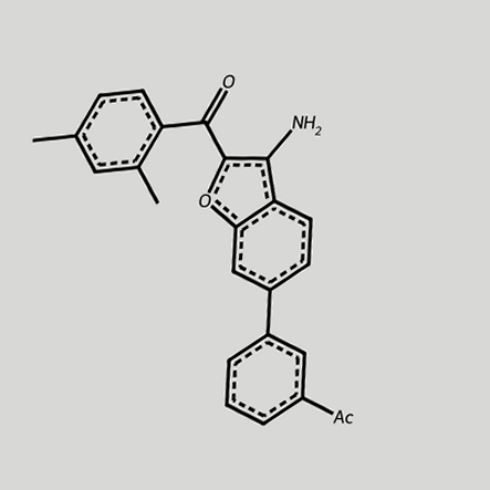 CC(=O)c1cccc(-c2ccc3c(N)c(C(=O)c4ccc(C)cc4C)oc3c2)c1